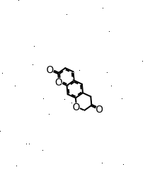 O=C1COc2cc3oc(=O)ccc3cc2C1